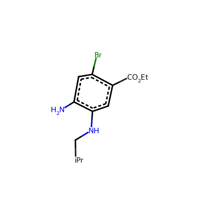 CCOC(=O)c1cc(NCC(C)C)c(N)cc1Br